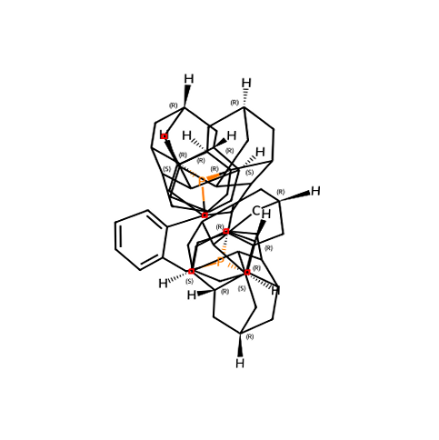 c1ccc(CP([C@]23CC4CC5C6C[C@H](CC52)C[C@@H]3[C@H]6C4)[C@]23CC4CC5C6C[C@H](CC52)C[C@@H]3[C@H]6C4)c(CP([C@]23CC4CC5C6C[C@H](CC52)C[C@@H]3[C@H]6C4)[C@]23CC4CC5C6C[C@H](CC52)C[C@@H]3[C@H]6C4)c1